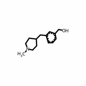 CN1CCC(Cc2cccc(CO)c2)CC1